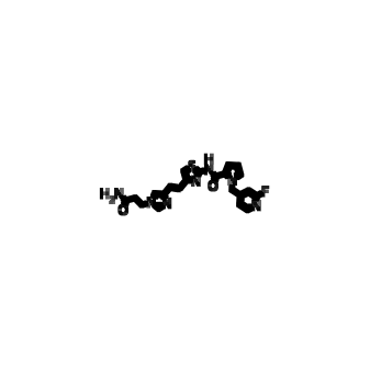 NC(=O)CCn1cnc(C=Cc2csc(NC(=O)c3cccn3Cc3ccnc(F)c3)n2)c1